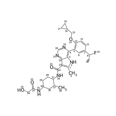 Cc1[nH]c2c(-c3cc(C(F)F)ccc3OCC3CC3)ncnc2c1C(=O)NC1CCC(NC(=O)CO)CC1C